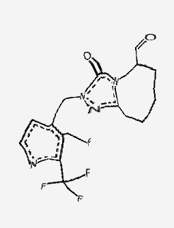 O=CC1CCCc2nn(Cc3ccnc(C(F)(F)F)c3F)c(=O)n21